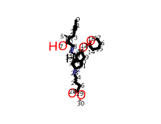 CC#CC[C@H](C)[C@H](O)/C=C/[C@H]1[C@H](OC2CCCCO2)CC2C/C(=C\CCCC(=O)OC)C[C@@H]21